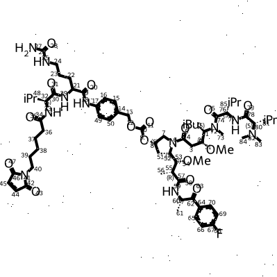 CC[C@H](C)C([C@@H](CC(=O)N1C[C@@H](OC(=O)OCc2ccc(NC(=O)C(CCCNC(N)=O)NC(=O)[C@@H](NC(=O)CCCCCN3C(=O)C=CC3=O)C(C)C)cc2)C[C@H]1[C@H](OC)[C@@H](C)C(=O)N[C@@H](C)C(=O)c1ccc(F)cc1)OC)N(C)C(=O)[C@@H](NC(=O)[C@H](C(C)C)N(C)C)C(C)C